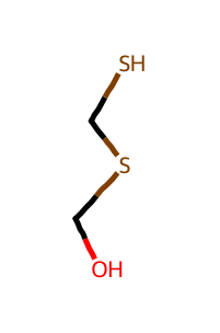 OCSCS